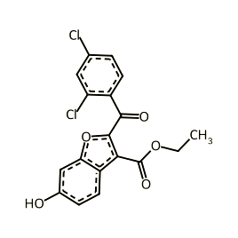 CCOC(=O)c1c(C(=O)c2ccc(Cl)cc2Cl)oc2cc(O)ccc12